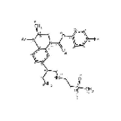 CC(=O)N1c2ccc(C(CN)CNCCS(C)(=O)=O)cc2N(C(=O)Oc2ccc(F)cc2)C[C@@H]1C